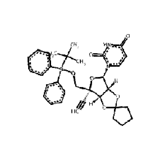 C#C[C@]1(CO[Si](c2ccccc2)(c2ccccc2)C(C)(C)C)O[C@@H](n2ccc(=O)[nH]c2=O)[C@@H]2OC3(CCCC3)O[C@@H]21